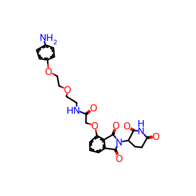 Nc1ccc(OCCOCCNC(=O)COc2cccc3c2C(=O)N(C2CCC(=O)NC2=O)C3=O)cc1